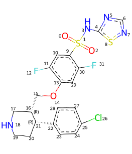 O=S(=O)(Nc1ncns1)c1cc(F)c(OC[C@H]2CNCC[C@H]2c2ccc(Cl)cc2)cc1F